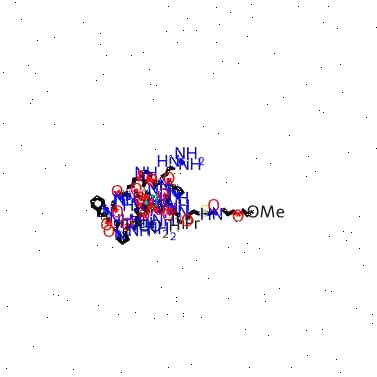 CCCC[C@H](NC(=O)[C@@H]1CC2CCCCC2N1C(=O)CNC(=O)[C@H](CCCCN)NC(=O)[C@H](Cc1c[nH]cn1)NC(=O)[C@H](CO)NC(=O)[C@H](CC1CCCCC1)NC(=O)[C@H](CCCCNC(=N)N)NC(=O)[C@H]1CCCN1C(=O)[C@H](CCCNC(=N)N)NC(=O)[C@H](CC(C)C)NC(=O)CCSCC(=O)NCCCOCCOC)C(=O)N1CCC[C@H]1C(=O)N[C@@H](Cc1ccc(Cl)cc1)C(=O)O